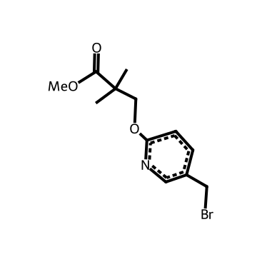 COC(=O)C(C)(C)COc1ccc(CBr)cn1